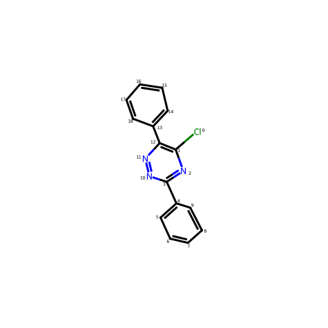 Clc1nc(-c2ccccc2)nnc1-c1ccccc1